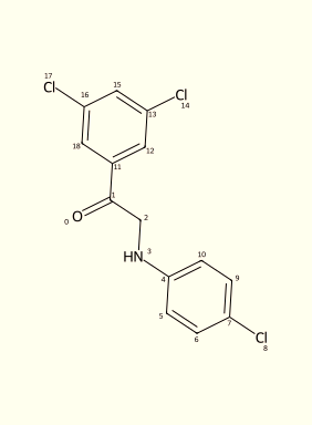 O=C(CNc1ccc(Cl)cc1)c1cc(Cl)cc(Cl)c1